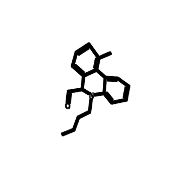 CCCCN1c2ccccc2-c2c(C)cccc2C1C=O